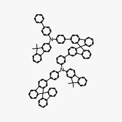 CC1(C)c2ccccc2-c2ccc(N(c3ccc(-c4ccccc4)cc3)c3ccc(-c4ccc5c(c4)C4(c6ccccc6-c6cc(-c7cccc(N(c8ccc(-c9ccc%10c(c9)C9(c%11ccccc%11-c%11ccccc%119)c9ccccc9-%10)cc8)c8ccc9c(c8)C(C)(C)c8ccccc8-9)c7)ccc64)c4ccccc4-5)cc3)cc21